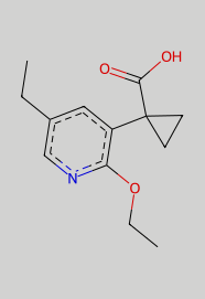 CCOc1ncc(CC)cc1C1(C(=O)O)CC1